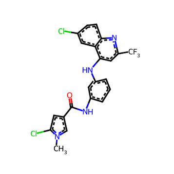 Cn1cc(C(=O)Nc2cccc(Nc3cc(C(F)(F)F)nc4ccc(Cl)cc34)c2)cc1Cl